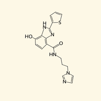 O=C(NCCCn1ccnc1)c1ccc(O)c2[nH]c(-c3cccs3)nc12